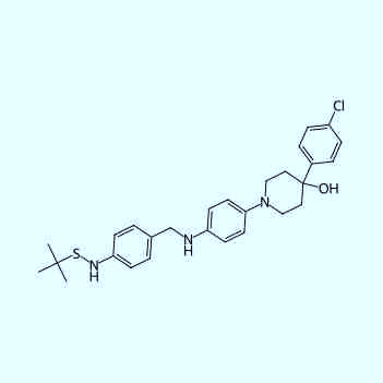 CC(C)(C)SNc1ccc(CNc2ccc(N3CCC(O)(c4ccc(Cl)cc4)CC3)cc2)cc1